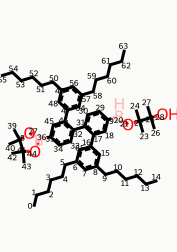 CCCCCCc1cc(CCCCCC)cc(-c2cc(BOC(C)(C)C(C)(C)O)ccc2-c2ccc(B3OC(C)(C)C(C)(C)O3)cc2-c2cc(CCCCCC)cc(CCCCCC)c2)c1